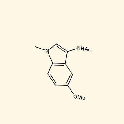 COc1ccc2c(c1)c(NC(C)=O)cn2C